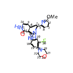 COc1cccc(-c2cc3cc[nH]c(=O)c3c(Nc3ccc(N4CCOCC4)c(F)c3)n2)n1